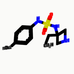 CCCCCCCCc1ccc(NS(=O)(=O)NC2(CC(=O)O)CNC2)cc1